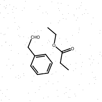 CCOC(=O)CC.O=CCc1ccccc1